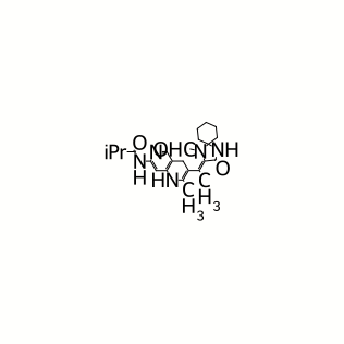 CC1=C(/C(C)=C2/C(=O)NC3(CCCCC3)N2C=O)Cc2cnc(NC(=O)C(C)C)cc2N1